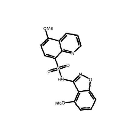 COc1ccc(S(=O)(=O)Nc2noc3cccc(OC)c23)c2ncccc12